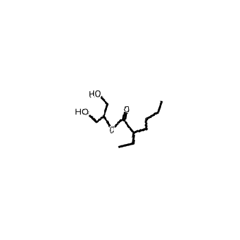 CCCCC(CC)C(=O)OC(CO)CO